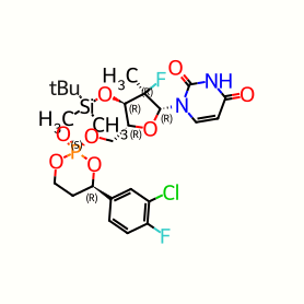 CC(C)(C)[Si](C)(C)O[C@@H]1[C@@H](CO[P@]2(=O)OCC[C@H](c3ccc(F)c(Cl)c3)O2)O[C@@H](n2ccc(=O)[nH]c2=O)[C@]1(C)F